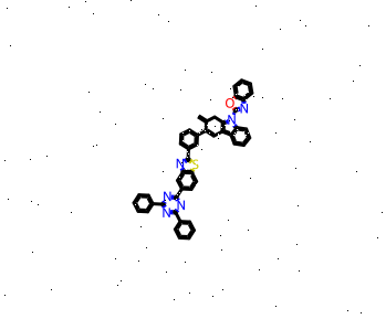 C=C1Cc2c(c3ccccc3n2-c2nc3ccccc3o2)C=C1c1cccc(-c2nc3cc(-c4nc(-c5ccccc5)nc(-c5ccccc5)n4)ccc3s2)c1